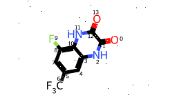 O=c1[nH]c2cc(C(F)(F)F)cc(F)c2[nH]c1=O